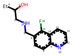 CCC(O)CNCc1ccc2ncccc2c1F